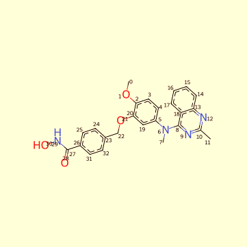 COc1ccc(N(C)c2nc(C)nc3ccccc23)cc1OCc1ccc(C(=O)NO)cc1